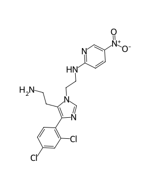 NCCc1c(-c2ccc(Cl)cc2Cl)ncn1CCNc1ccc([N+](=O)[O-])cn1